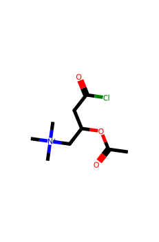 CC(=O)OC(CC(=O)Cl)C[N+](C)(C)C